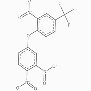 O=[N+]([O-])c1cc(C(F)(F)F)ccc1Oc1ccc([N+](=O)[O-])c([N+](=O)[O-])c1